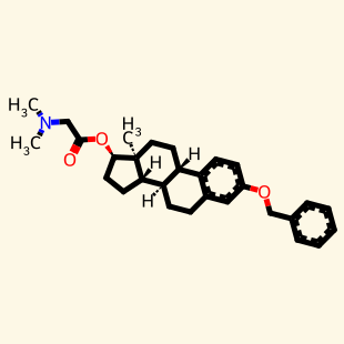 CN(C)CC(=O)O[C@@H]1CC[C@H]2[C@@H]3CCc4cc(OCc5ccccc5)ccc4[C@H]3CC[C@]12C